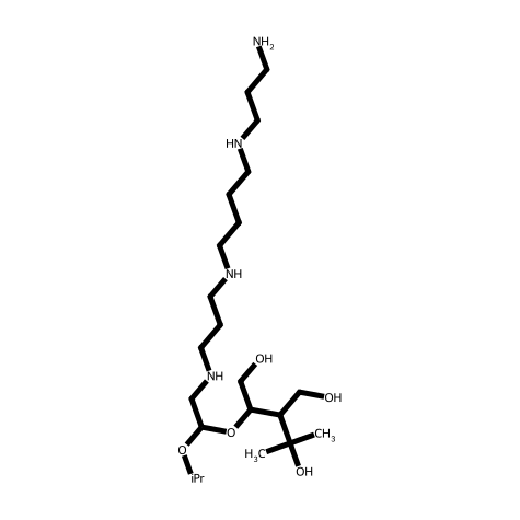 CC(C)OC(CNCCCNCCCCNCCCN)OC(CO)C(CO)C(C)(C)O